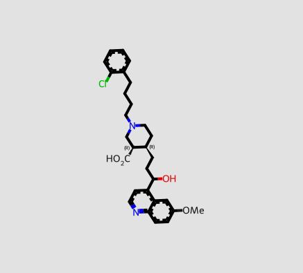 COc1ccc2nccc(C(O)CC[C@@H]3CCN(CCCCc4ccccc4Cl)C[C@@H]3C(=O)O)c2c1